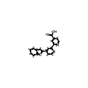 O=C(O)c1ccnc(-c2cc(-c3cc4ccccc4o3)ccn2)c1